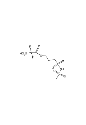 CS(=O)(=O)NS(=O)(=O)CCCOC(=O)C(F)(F)S(=O)(=O)O